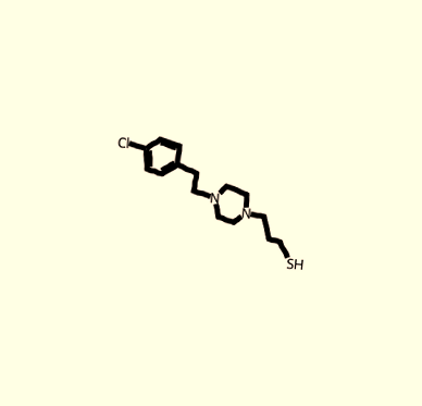 SCCCN1CCN(CCc2ccc(Cl)cc2)CC1